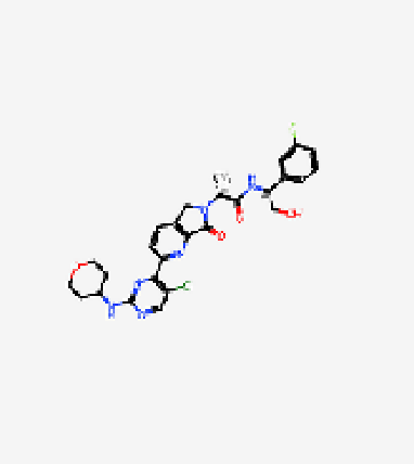 C[C@H](C(=O)N[C@H](CO)c1cccc(F)c1)N1Cc2ccc(-c3nc(NC4CCOCC4)ncc3Cl)nc2C1=O